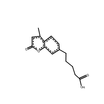 Cc1cc(=O)oc2cc(CCCCC(=O)O)ccc12